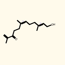 C=C(C)C(=O)CC/C(C)=C\CC/C(C)=C/CO